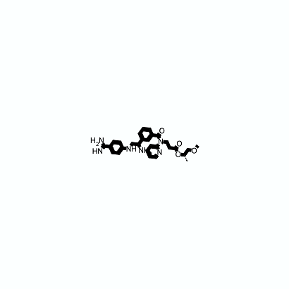 COC[C@H](C)OC(=O)CCN(C(=O)c1cccc(C(N)CNc2ccc(C(=N)N)cc2)c1)c1ccccn1